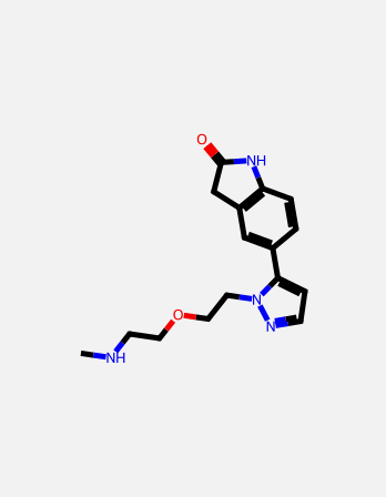 CNCCOCCn1nccc1-c1ccc2c(c1)CC(=O)N2